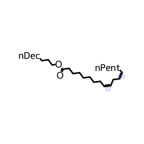 CCCCC/C=C\C/C=C\CCCCCCCC(=O)OCCCCCCCCCCCCC